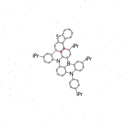 CC(C)c1ccc(N2c3ccc(C(C)C)cc3B3c4cc(C(C)C)ccc4N(c4ccc(C(C)C)cc4-c4ccc5c(c4)sc4ccccc45)c4cccc2c43)cc1